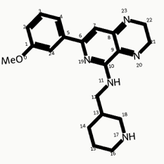 COc1cccc(-c2cc3c(c(NCC4CCCNC4)n2)=NCCN=3)c1